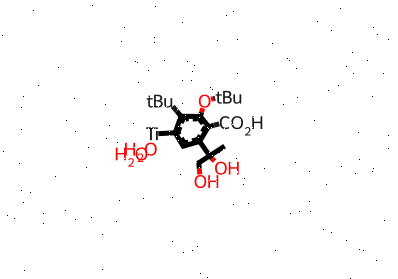 CC(C)(C)Oc1c(C(=O)O)c(C(C)(O)CO)c[c]([Ti])c1C(C)(C)C.O.O